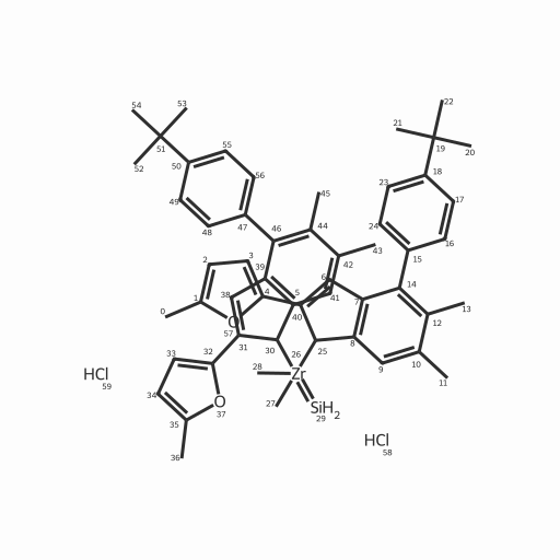 Cc1ccc(C2=Cc3c(cc(C)c(C)c3-c3ccc(C(C)(C)C)cc3)[CH]2[Zr]([CH3])([CH3])(=[SiH2])[CH]2C(c3ccc(C)o3)=Cc3c2cc(C)c(C)c3-c2ccc(C(C)(C)C)cc2)o1.Cl.Cl